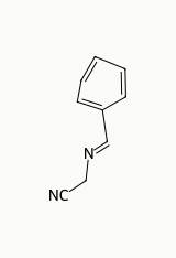 N#CCN=Cc1ccccc1